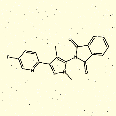 Cc1c(-c2ccc(F)cn2)nn(C)c1N1C(=O)c2ccccc2C1=O